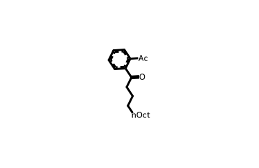 CCCCCCCCCCCC(=O)c1ccccc1C(C)=O